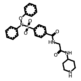 O=C(CNC(=O)c1ccc(S(=O)(=O)N(Oc2ccccc2)c2ccccc2)cc1)NC1CCNCC1